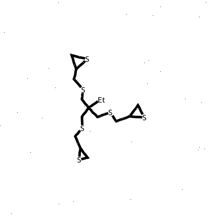 CCC(CSCC1CS1)(CSCC1CS1)CSCC1CS1